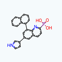 O=P(O)(O)c1ccc2cc(-c3cc[nH]c3)cc(-c3cccc4ccccc34)c2n1